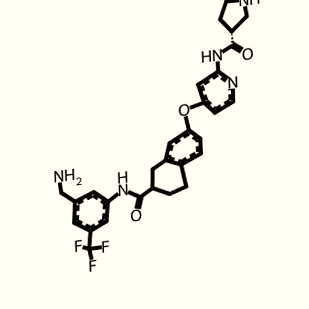 NCc1cc(NC(=O)C2CCc3ccc(Oc4ccnc(NC(=O)[C@@H]5CCNC5)c4)cc3C2)cc(C(F)(F)F)c1